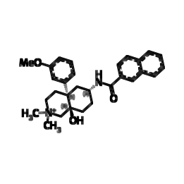 COc1cccc([C@@]23CC[N+](C)(C)C[C@@]2(O)CC[C@@H](NC(=O)c2ccc4ccccc4c2)C3)c1